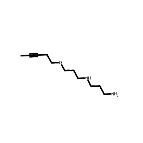 CC#CCCOCCCNCCCN